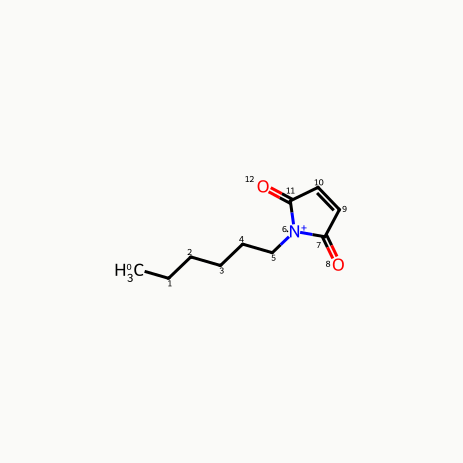 CCCCCC[N+]1C(=O)C=CC1=O